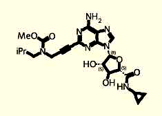 COC(=O)N(CC#Cc1nc(N)c2ncn([C@@H]3O[C@H](C(=O)NC4CC4)C(O)[C@@H]3O)c2n1)CC(C)C